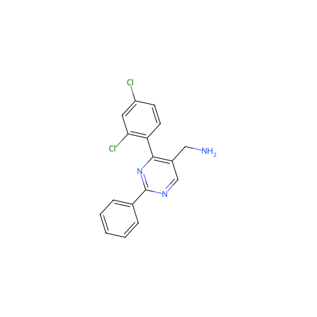 NCc1cnc(-c2ccccc2)nc1-c1ccc(Cl)cc1Cl